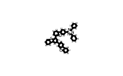 c1ccc(-c2nc(-c3ccccc3)nc(-c3ccc4c(c3)oc3c(-c5cc(-c6ccc7c(c6)oc6ccccc67)cc6c5sc5ccccc56)cccc34)n2)cc1